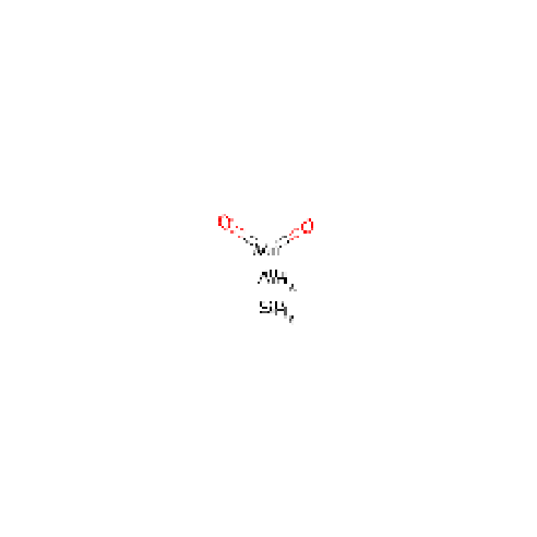 [AlH3].[O]=[Mn]=[O].[SiH4]